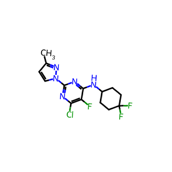 Cc1ccn(-c2nc(Cl)c(F)c(NC3CCC(F)(F)CC3)n2)n1